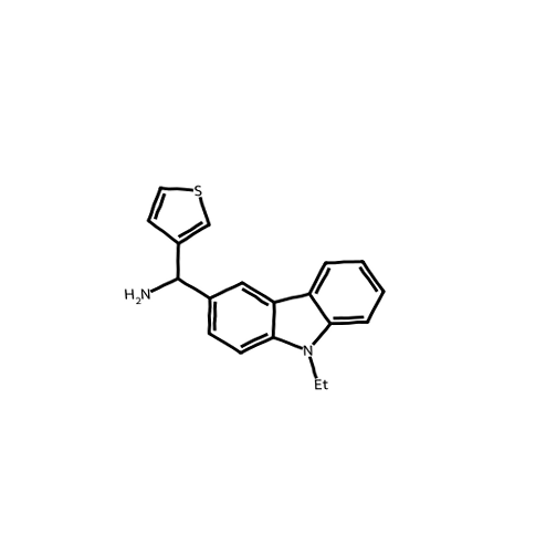 CCn1c2ccccc2c2cc(C(N)c3ccsc3)ccc21